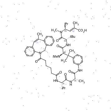 CN[C@@H](C(=O)N[C@H](C(=O)N(C)[C@H](/C=C(\C)C(=O)O)C(C)C)C(C)(C)C)C(C)(C)c1cccc(NC(=O)[C@H](C)NC(=O)[C@@H](NC(=O)CCCCC(=O)N2Cc3ccccc3/C(C)=C\c3ccccc32)C(C)C)c1